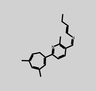 CC/C=C/N=C\c1ccc(C2=CC(C)=CC(C)=CC2)nc1C